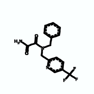 NC(=O)C(=O)N(Cc1ccccc1)Cc1ccc(C(F)(F)F)cn1